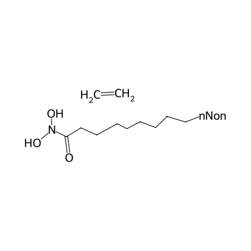 C=C.CCCCCCCCCCCCCCCCCC(=O)N(O)O